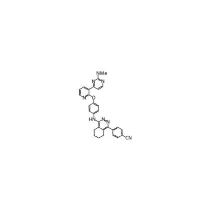 CNc1nccc(-c2cccnc2Oc2ccc(Nc3nnc(-c4ccc(C#N)cc4)c4c3CCCC4)cc2)n1